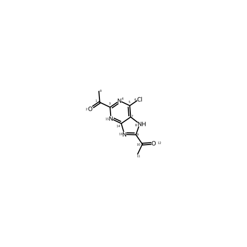 CC(=O)c1nc(Cl)c2[nH]c(C(C)=O)nc2n1